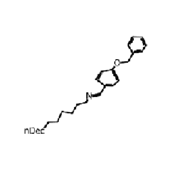 CCCCCCCCCCCCCCCCN=Cc1ccc(OCc2ccccc2)cc1